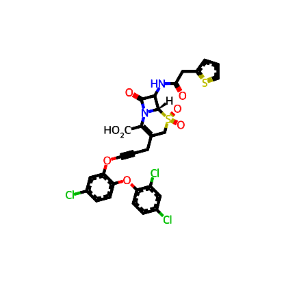 O=C(Cc1cccs1)NC1C(=O)N2C(C(=O)O)=C(CC#COc3cc(Cl)ccc3Oc3ccc(Cl)cc3Cl)CS(=O)(=O)[C@@H]12